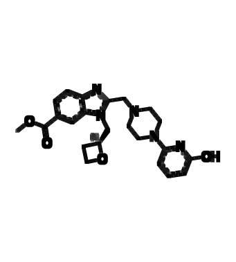 COC(=O)c1ccc2nc(CN3CCN(c4cccc(O)n4)CC3)n(C[C@@H]3CCO3)c2c1